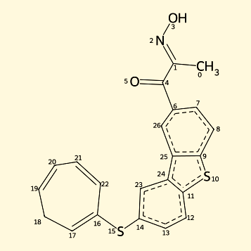 C/C(=N\O)C(=O)c1ccc2sc3ccc(SC4=CCC=CC=C4)cc3c2c1